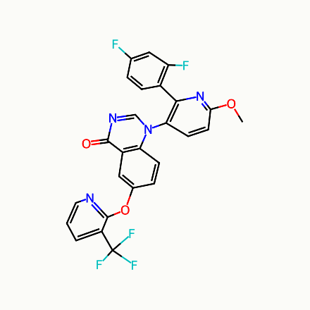 COc1ccc(-n2cnc(=O)c3cc(Oc4ncccc4C(F)(F)F)ccc32)c(-c2ccc(F)cc2F)n1